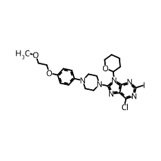 COCCOc1ccc(N2CCN(c3nc4c(Cl)nc(I)nc4n3C3CCCCO3)CC2)cc1